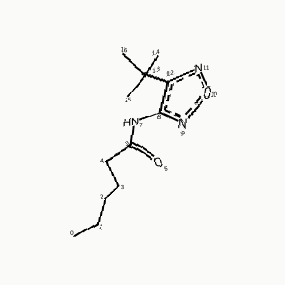 CCCCCC(=O)Nc1nonc1C(C)(C)C